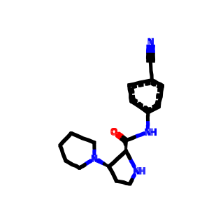 N#Cc1ccc(NC(=O)[C@H]2NCC[C@H]2N2CCCCC2)cc1